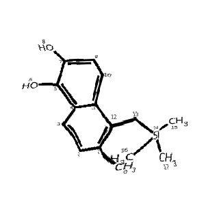 Cc1ccc2c(O)c(O)ccc2c1C[Si](C)(C)C